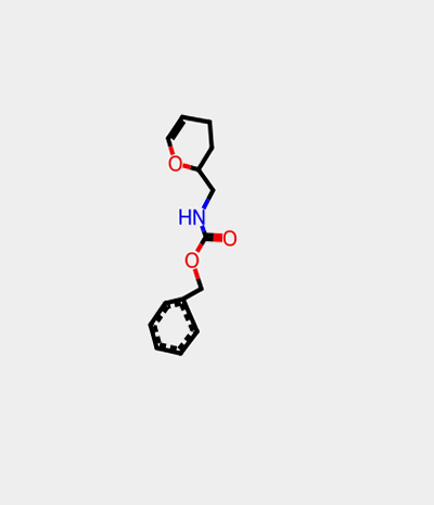 O=C(NCC1CCC=CO1)OCc1ccccc1